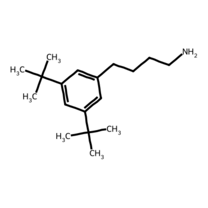 CC(C)(C)c1cc(CCCCN)cc(C(C)(C)C)c1